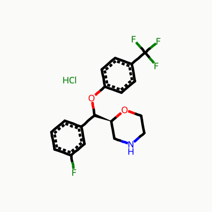 Cl.Fc1cccc(C(Oc2ccc(C(F)(F)F)cc2)[C@@H]2CNCCO2)c1